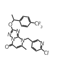 Cc1cc(=O)n2nc(OC(C)c3ccc(C(F)(F)F)cc3)nc2n1Cc1ccc(Cl)nc1